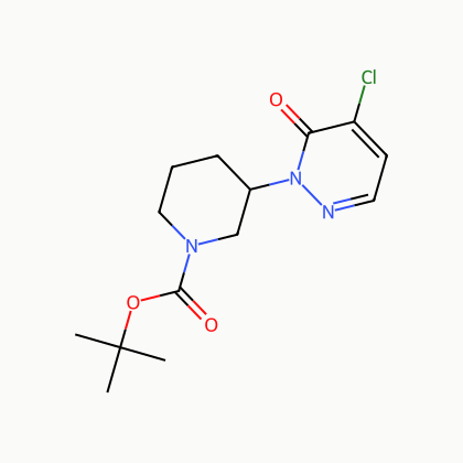 CC(C)(C)OC(=O)N1CCCC(n2nccc(Cl)c2=O)C1